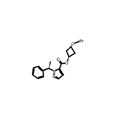 CC(C)O[C@H]1C[C@@H](OC(=O)c2ccnn2[C@H](C)c2ccccc2)C1